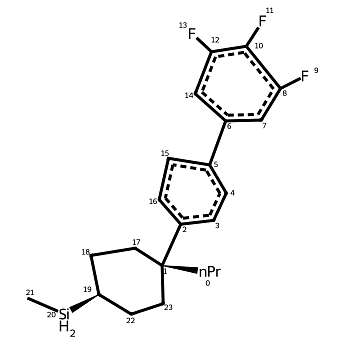 CCC[C@]1(c2ccc(-c3cc(F)c(F)c(F)c3)cc2)CC[C@H]([SiH2]C)CC1